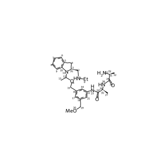 CCNC[C@@H]1Cc2ccccc2N1C(C)OCc1cc(COC)cc(NC(=O)[C@H](C)NC(=O)[C@H](C)N)c1